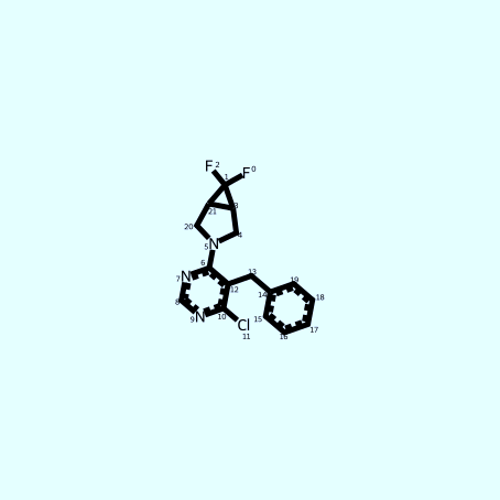 FC1(F)C2CN(c3ncnc(Cl)c3Cc3ccccc3)CC21